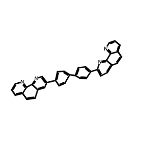 c1cnc2c(c1)ccc1cc(-c3ccc(-c4ccc(-c5ccc6ccc7cccnc7c6n5)cc4)cc3)cnc12